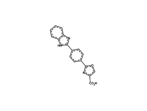 O=C(O)c1coc(-c2ccc(-c3nc4ccccc4[nH]3)cc2)n1